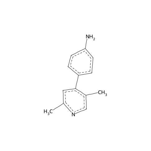 Cc1cc(-c2ccc(N)cc2)c(C)cn1